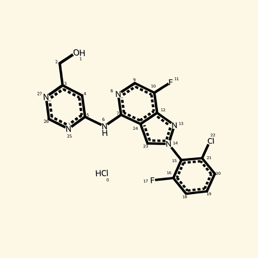 Cl.OCc1cc(Nc2ncc(F)c3nn(-c4c(F)cccc4Cl)cc23)ncn1